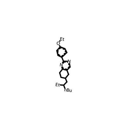 CCCCC(CC)CC1CCc2nc(-c3ccc(OCC)cc3)ncc2C1